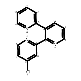 Clc1ccnc(-c2ncccc2-c2ccccn2)c1